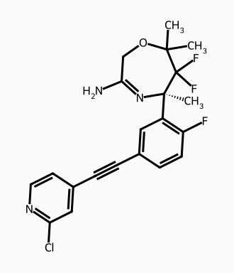 CC1(C)OCC(N)=N[C@](C)(c2cc(C#Cc3ccnc(Cl)c3)ccc2F)C1(F)F